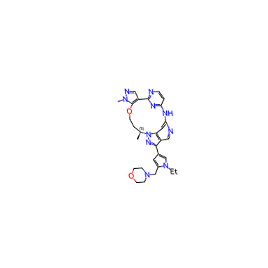 CCn1cc(-c2nn3c4cc(ncc24)Nc2ccnc(n2)-c2cnn(C)c2OCC[C@@H]3C)cc1CN1CCOCC1